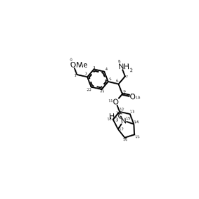 COCc1ccc(C(CN)C(=O)OC2CC3CCC(C2)N3C)cc1